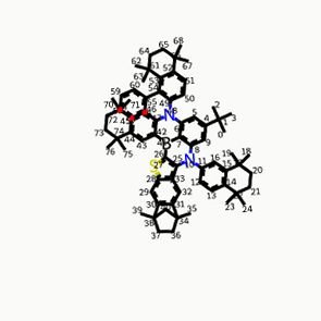 CC(C)(C)c1cc2c3c(c1)N(c1ccc4c(c1)C(C)(C)CCC4(C)C)c1c(sc4cc5c(cc14)C1(C)CCC5(C)C1)B3c1cc3c(cc1N2c1ccc2c(c1-c1ccccc1)C(C)(C)CCC2(C)C)C(C)(C)CCC3(C)C